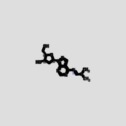 CN(C)/C=N/c1ncnc2c1cnn2[C@H]1C[C@@H](O)[C@@H](CO)O1